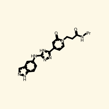 CC(C)NC(=O)CCn1ccc(-c2nnc(Nc3ccc4[nH]ncc4c3)[nH]2)cc1=O